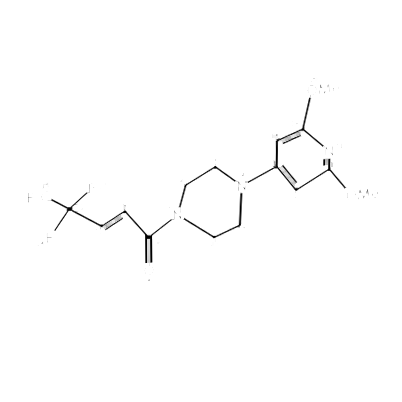 COc1cc(N2CCN(C(=O)C=CC(F)(F)C(F)(F)F)CC2)cc(OC)n1